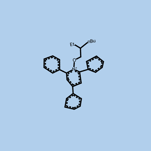 CCCCC(CC)CO[n+]1c(-c2ccccc2)cc(-c2ccccc2)cc1-c1ccccc1